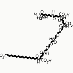 NC(=O)C(CCCCNC(=O)CC[C@H](NC(=O)CC[C@H](NC(=O)COCCOCCNC(=O)COCCOCCNC(=O)CC[C@H](NC(=O)CCCCCCCCCCCCCCCCC(=O)O)C(=O)O)C(=O)O)C(=O)O)NS